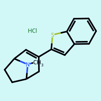 CN1C2C=C(c3cc4ccccc4s3)CC1CC2.Cl